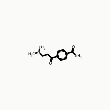 CN(C)CCC(=O)c1ccc(C(N)=O)cc1